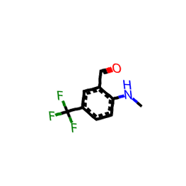 CNc1ccc(C(F)(F)F)cc1C=O